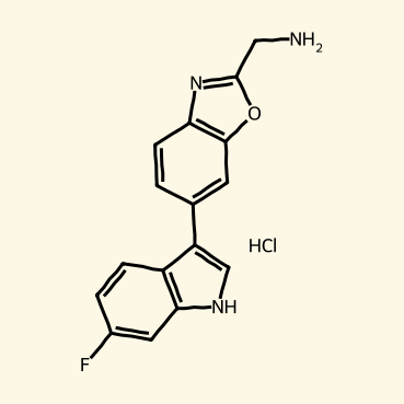 Cl.NCc1nc2ccc(-c3c[nH]c4cc(F)ccc34)cc2o1